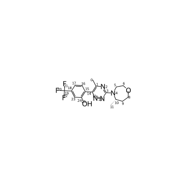 Cc1nc(N2CCOCC[C@@H]2C)nnc1-c1ccc(C(F)(F)F)cc1O